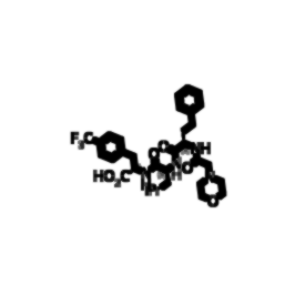 CC(C)C[C@H](NC(=O)[C@H](CCc1ccccc1)NC(=O)CN1CCOCC1)C(=O)N[C@@H](Cc1ccc(C(F)(F)F)cc1)C(=O)O